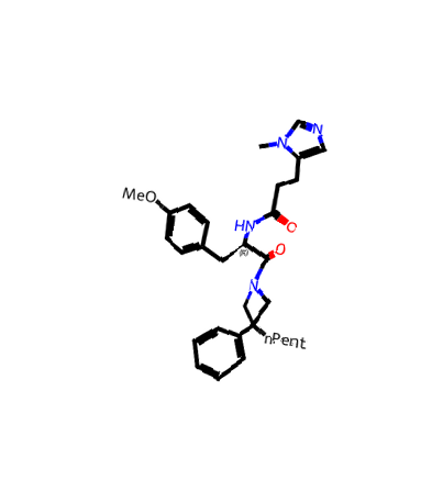 CCCCCC1(c2ccccc2)CN(C(=O)[C@@H](Cc2ccc(OC)cc2)NC(=O)CCc2cncn2C)C1